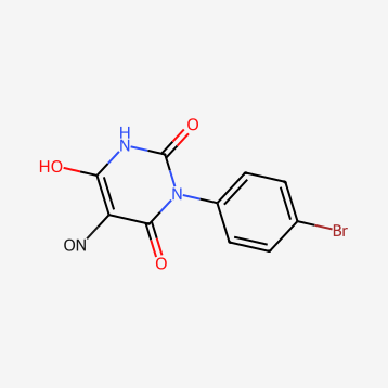 O=Nc1c(O)[nH]c(=O)n(-c2ccc(Br)cc2)c1=O